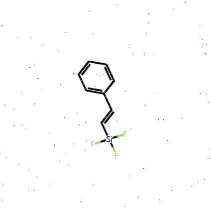 F[Si](F)(F)/C=C/c1ccccc1